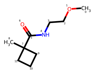 COCCNC(=O)C1(C)CCC1